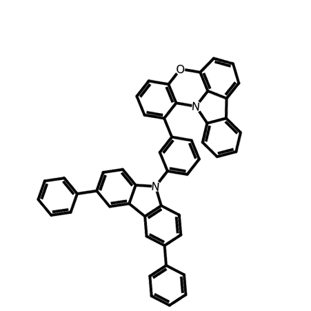 c1ccc(-c2ccc3c(c2)c2cc(-c4ccccc4)ccc2n3-c2cccc(-c3cccc4c3-n3c5ccccc5c5cccc(c53)O4)c2)cc1